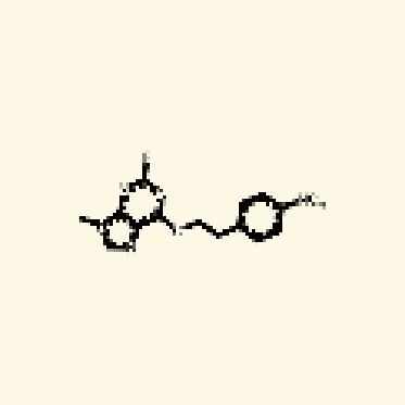 Cn1cnc2c(OCCc3ccc([N+](=O)[O-])cc3)nc(F)nc21